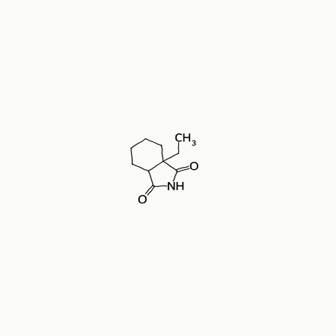 CCC12CCCCC1C(=O)NC2=O